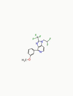 COc1[c]ccc(-c2nccc3c2nc(C(F)(F)F)n3CC(F)F)c1